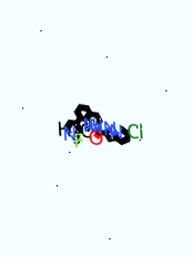 CN1c2c(cccc2-c2ccnc(F)c2)CCN1C(=O)c1cc2ccc(Cl)cn2n1